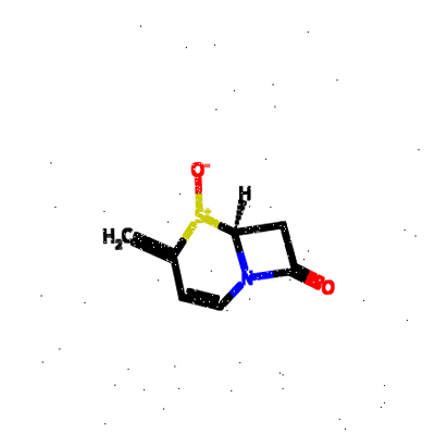 C=C1C=CN2C(=O)C[C@@H]2[S+]1[O-]